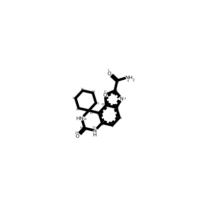 NC(=O)c1nc2ccc3c(c2o1)C1(CCCCC1)NC(=O)N3